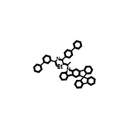 CC\C=C(/N=C(\C(CC)=C(/C)n1c2ccccc2c2cc3c(cc21)-c1ccccc1C31c2ccccc2-c2ccccc21)c1ccc(-c2ccccc2)cc1)c1cccc(-c2ccccc2)c1